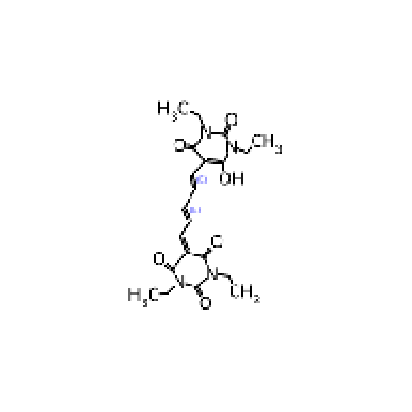 CCN1C(=O)C(=C/C=C/C=C/c2c(O)n(CC)c(=O)n(CC)c2=O)C(=O)N(CC)C1=O